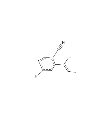 C/C=C(\CC)c1cc(F)ccc1C#N